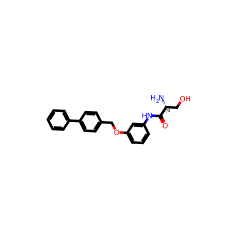 N[C@H](CO)C(=O)Nc1cccc(OCc2ccc(-c3ccccc3)cc2)c1